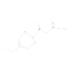 COC(=O)CC(=O)c1ccc(OC(C)C)cc1